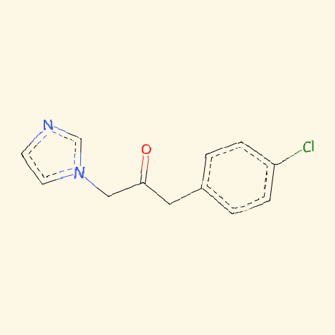 O=C(Cc1ccc(Cl)cc1)Cn1ccnc1